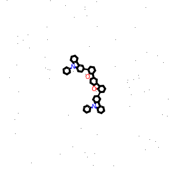 c1ccc(-n2c3ccccc3c3cc(-c4cccc5c4oc4cc6oc7c(-c8ccc9c(c8)c8ccccc8n9-c8ccccc8)cccc7c6cc45)ccc32)cc1